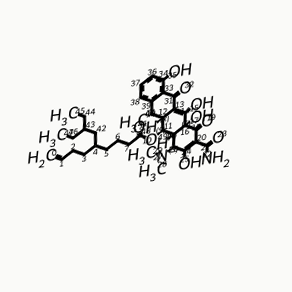 C=CCCC(CCCC(=O)O[C@H]1[C@H]2C(=C(O)[C@]3(O)C(=O)C(C(N)=O)=C(O)[C@@H](N(C)C)[C@H]13)C(=O)c1c(O)cccc1[C@@H]2C)CC(CC)CC